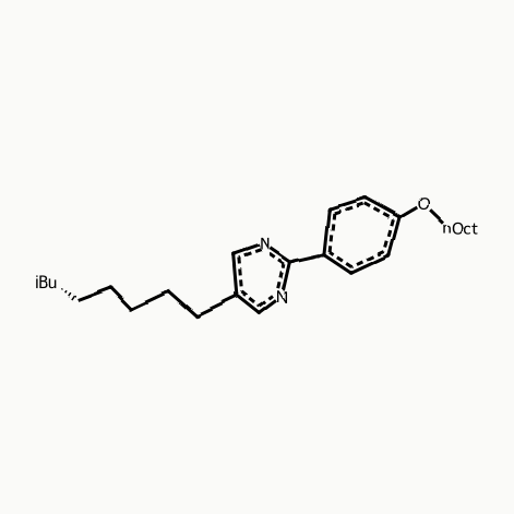 CCCCCCCCOc1ccc(-c2ncc(CCCCC[C@@H](C)CC)cn2)cc1